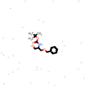 CC(C)(C)OC(=O)NC(C=O)COCc1ccccc1